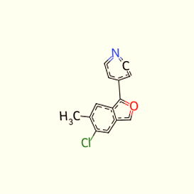 Cc1cc2c(-c3ccncc3)occ2cc1Cl